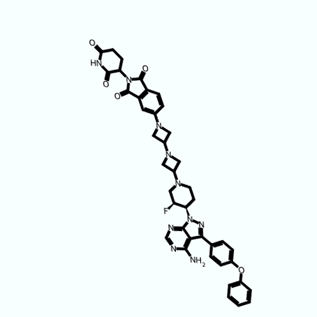 Nc1ncnc2c1c(-c1ccc(Oc3ccccc3)cc1)nn2[C@@H]1CCN(C2CN(C3CN(c4ccc5c(c4)C(=O)N(C4CCC(=O)NC4=O)C5=O)C3)C2)C[C@@H]1F